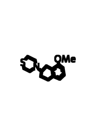 COc1cccc2c1CC(N1CCSCC1)CC2